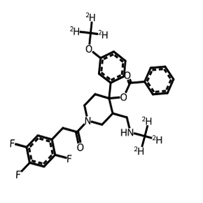 [2H]C([2H])([2H])NCC1CN(C(=O)Cc2cc(F)c(F)cc2F)CCC1(OC(=O)c1ccccc1)c1cccc(OC([2H])([2H])[2H])c1